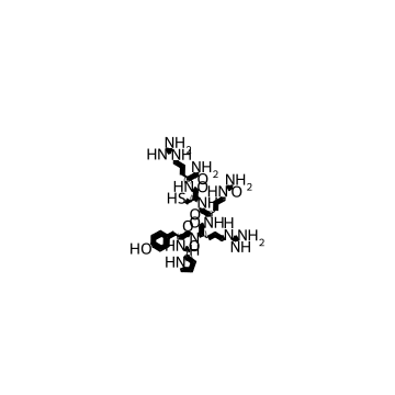 N=C(N)NCCC[C@H](NC(=O)[C@H](CS)NC(=O)[C@H](CCCNC(N)=O)NC(=O)[C@H](CCCNC(=N)N)NC(=O)[C@H](Cc1ccc(O)cc1)NC(=O)[C@@H]1CCCN1)C(N)=O